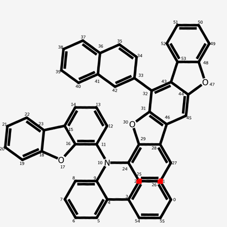 c1ccc(-c2ccccc2N(c2cccc3c2oc2ccccc23)c2cccc3c2oc2c(-c4ccc5ccccc5c4)c4c(cc23)oc2ccccc24)cc1